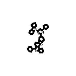 c1ccc(-c2cc(-n3c4ccccc4c4ccccc43)nc(-c3ccc4sc5c(ccc6c(-c7ccccc7)nc7ccccc7c65)c4c3)n2)cc1